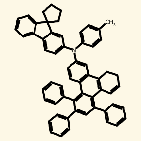 Cc1ccc(N(c2ccc3c(c2)C2(CCCC2)c2ccccc2-3)c2ccc3c(c2)c2c(c4c(-c5ccccc5)cc(-c5ccccc5)c(-c5ccccc5)c43)C=CCC2)cc1